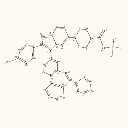 CC(C)(C)OC(=O)N1CCN(c2ccc3nc(-c4ccc(F)cc4)c(-c4ccnc(N=C(c5ccccc5)c5ccccc5)c4)n3n2)CC1